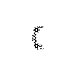 COc1ccc(/C=C/C(=O)CC(=O)/C=C/c2ccc(SC)cc2)cc1O